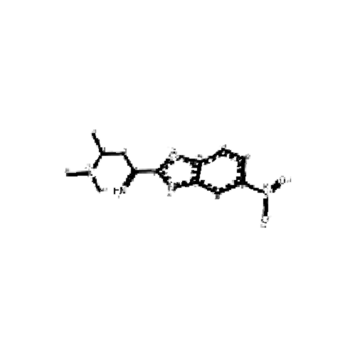 CC(CC(=N)c1nc2cc([N+](=O)[O-])ccc2o1)N(C)C